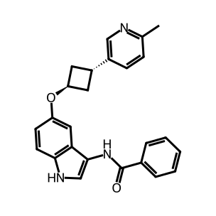 Cc1ccc([C@H]2C[C@H](Oc3ccc4[nH]cc(NC(=O)c5ccccc5)c4c3)C2)cn1